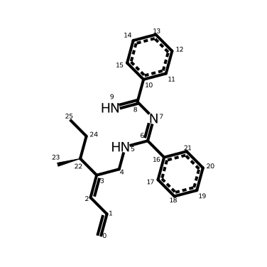 C=C/C=C(\CN/C(=N\C(=N)c1ccccc1)c1ccccc1)[C@@H](C)CC